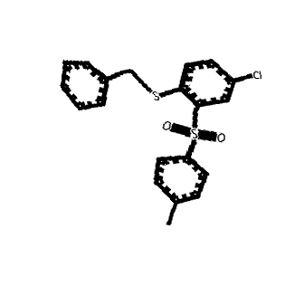 Cc1ccc(S(=O)(=O)c2cc(Cl)ccc2SCc2ccccc2)cc1